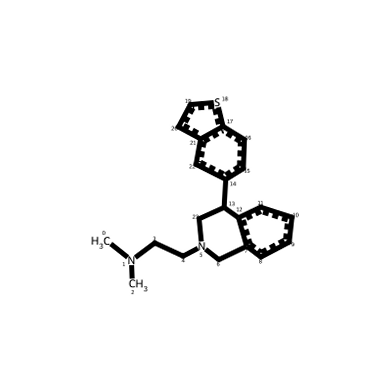 CN(C)CCN1Cc2ccccc2C(c2ccc3sccc3c2)C1